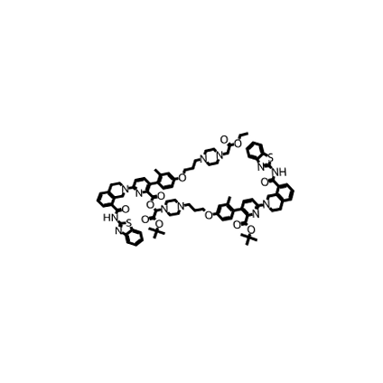 CCOC(=O)CN1CCN(CCCOc2ccc(-c3ccc(N4CCc5cccc(C(=O)Nc6nc7ccccc7s6)c5C4)nc3C(=O)OC(C(=O)OC(C)(C)C)N3CCN(CCCOc4ccc(-c5ccc(N6CCc7cccc(C(=O)Nc8nc9ccccc9s8)c7C6)nc5C(=O)OC(C)(C)C)c(C)c4)CC3)c(C)c2)CC1